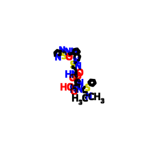 CN(C)CC[C@H](CSc1ccccc1)Nc1ncc(S(=O)(=O)NC(=O)c2csc(N3CCc4cccc(C(=O)Nc5nc6cccnc6s5)c4C3)n2)cc1[N+](=O)O